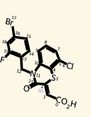 O=C(O)/C=C1\Sc2c(Cl)cccc2N(Cc2ccc(Br)cc2F)C1=O